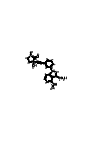 CCNc1nccc2c1c(C(=O)O)nn2-c1cccc(C#C[C@]2(O)CCN(C)C2=O)c1